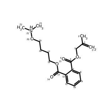 C=C(C)COC(=O)c1ccccc1C(=O)OCCCCO[SiH](C)C